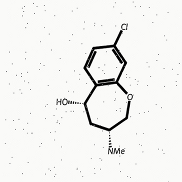 CN[C@H]1COc2cc(Cl)ccc2[C@@H](O)C1